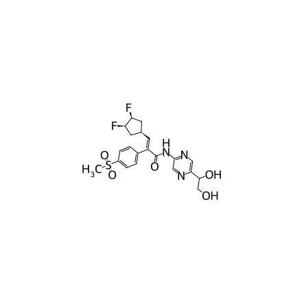 CS(=O)(=O)c1ccc(/C(=C\[C@H]2C[C@@H](F)[C@@H](F)C2)C(=O)Nc2cnc(C(O)CO)cn2)cc1